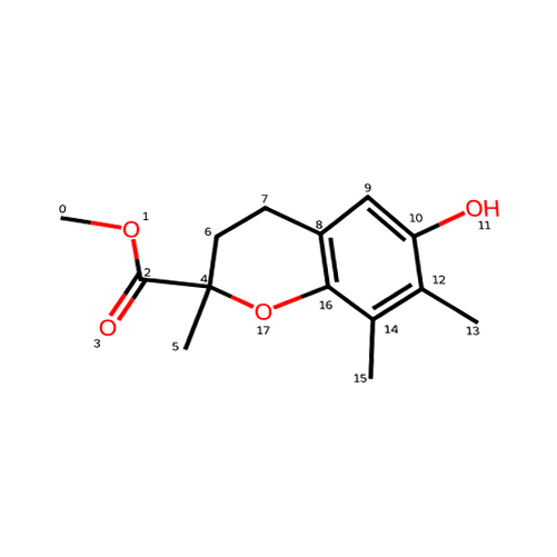 COC(=O)C1(C)CCc2cc(O)c(C)c(C)c2O1